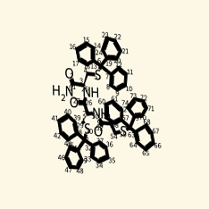 NC(=O)[C@@H](CSC(c1ccccc1)(c1ccccc1)c1ccccc1)NC(=O)[C@@H](CSC(c1ccccc1)(c1ccccc1)c1ccccc1)NC(=O)[CH]CSC(c1ccccc1)(c1ccccc1)c1ccccc1